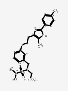 CCOC(=O)CN(Cc1cccc(OCCc2nc(-c3ccc(C(F)(F)F)cc3)oc2C)c1)S(=O)(=O)N(CC)CC